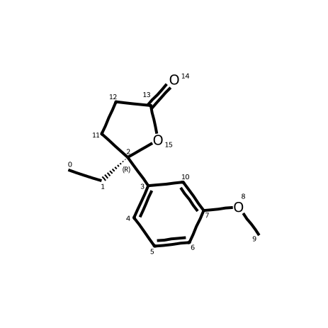 CC[C@]1(c2cccc(OC)c2)CCC(=O)O1